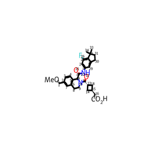 COCc1ccc2c(c1)CCN(C(=O)[C@H]1C[C@H](CC(=O)O)C1)C2C(=O)Nc1cc(F)c2c(c1)CCC2(C)C